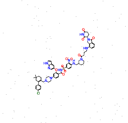 CC1(C)CCC(CN2CCN(c3ccc(C(=O)NS(=O)(=O)c4ccc(NCC5CCCN(C(=O)CCCNc6cccc7c6CN(C6CCC(=O)NC6=O)C7=O)C5)c([N+](=O)[O-])c4)c(Oc4cnc5[nH]ccc5c4)c3)CC2)=C(c2ccc(Cl)cc2)C1